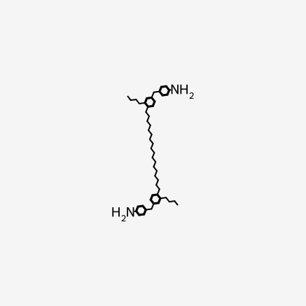 CCCCc1cc(Cc2ccc(N)cc2)ccc1CCCCCCCCCCCCCCCCCCc1ccc(Cc2ccc(N)cc2)cc1CCCC